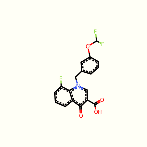 O=C(O)c1cn(Cc2cccc(OC(F)F)c2)c2c(F)cccc2c1=O